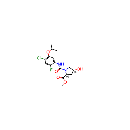 COC(=O)[C@@H]1C[C@@H](O)CN1C(=O)Nc1cc(OC(C)C)c(Cl)cc1F